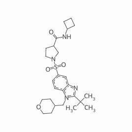 CC(C)(C)c1nc2cc(S(=O)(=O)N3CCC(C(=O)NC4CCC4)C3)ccc2n1CC1CCOCC1